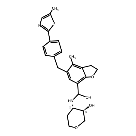 Cc1cnc(-c2ccc(Cc3cc(C(O)N[C@H]4CCOC[C@@H]4O)c4c(c3C)CCO4)cc2)s1